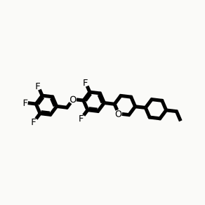 CCC1CCC(C2CCC(c3cc(F)c(OCc4cc(F)c(F)c(F)c4)c(F)c3)OC2)CC1